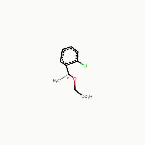 C[C@@H](OCC(=O)O)c1ccccc1Cl